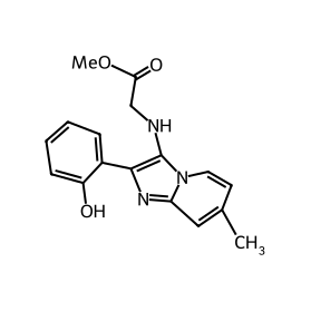 COC(=O)CNc1c(-c2ccccc2O)nc2cc(C)ccn12